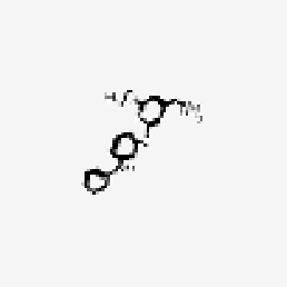 Cc1cc(CN)cc(Oc2cccc(Nc3ccccc3)c2)n1